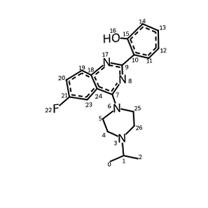 CC(C)N1CCN(c2nc(-c3ccccc3O)nc3ccc(F)cc23)CC1